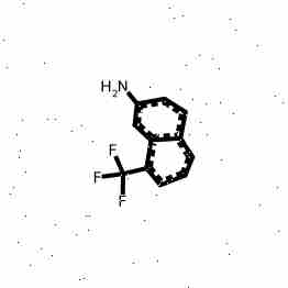 Nc1ccc2cccc(C(F)(F)F)c2c1